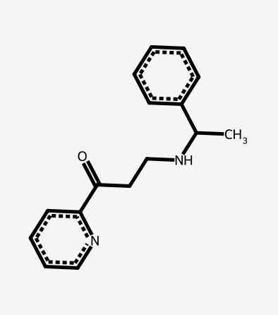 CC(NCCC(=O)c1ccccn1)c1ccccc1